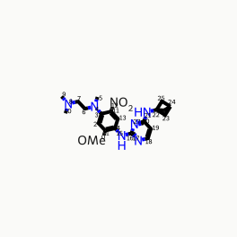 COc1cc(N(C)CCN(C)C)c([N+](=O)[O-])cc1Nc1nccc(NC23CC(C2)C3)n1